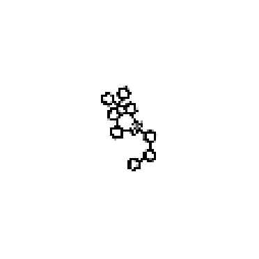 c1ccc(-c2cccc(-c3cccc(-c4nc5nc(n4)-c4cccc6c4-c4c(cccc4C6(c4ccccc4)c4ccccc4)-c4ccccc4-5)c3)c2)cc1